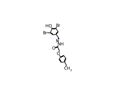 CCc1ccc(OCC(=O)N/N=C/c2cc(Br)c(O)c(Br)c2)cc1